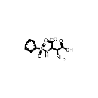 NC(C(=O)O)C(NS(=O)(=O)c1ccccc1)C(=O)O